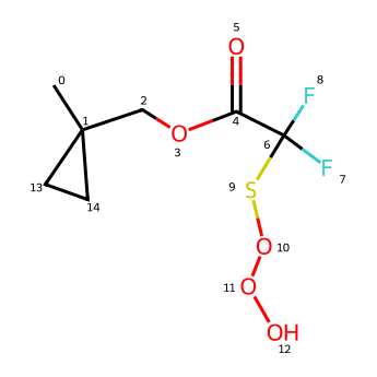 CC1(COC(=O)C(F)(F)SOOO)CC1